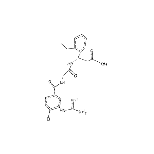 CCc1ccccc1C(CC(=O)O)NC(=O)CNC(=O)c1ccc(Cl)c(NC(=N)N)c1